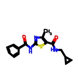 Cc1nc(NC(=O)c2ccccc2)sc1C(=O)NCC1CC1